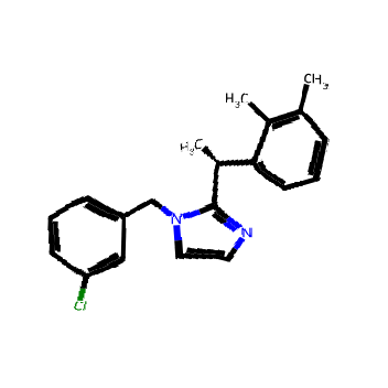 Cc1cccc([C@H](C)c2nccn2Cc2cccc(Cl)c2)c1C